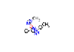 CCn1ccnc1COc1nn2c(-c3ccc(C)cc3)nnc2cc1-c1ccccc1